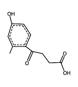 Cc1cc(O)ccc1C(=O)CCC(=O)O